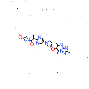 C=C(C(=O)N1CC(OC)C1)c1ncc(N2CC[C@@H](Oc3c(C)nc4nc(C)nn4c3C)C2)cn1